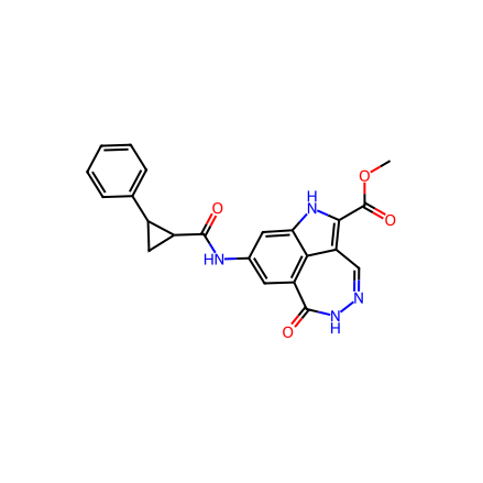 COC(=O)c1[nH]c2cc(NC(=O)C3CC3c3ccccc3)cc3c2c1C=NNC3=O